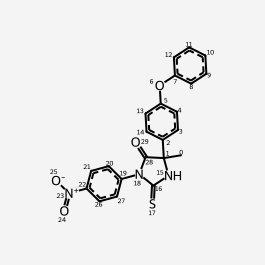 CC1(c2ccc(Oc3ccccc3)cc2)NC(=S)N(c2ccc([N+](=O)[O-])cc2)C1=O